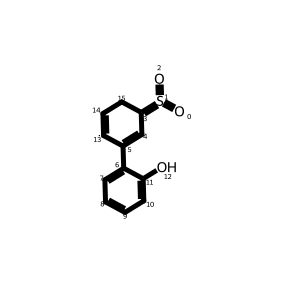 O=S(=O)=C1C=C(c2ccccc2O)[C]=CC1